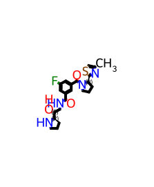 Cc1csc([C@H]2CCCN2C(=O)c2cc(F)cc(C(=O)NC[C@H](O)[C@H]3CCCN3)c2)n1